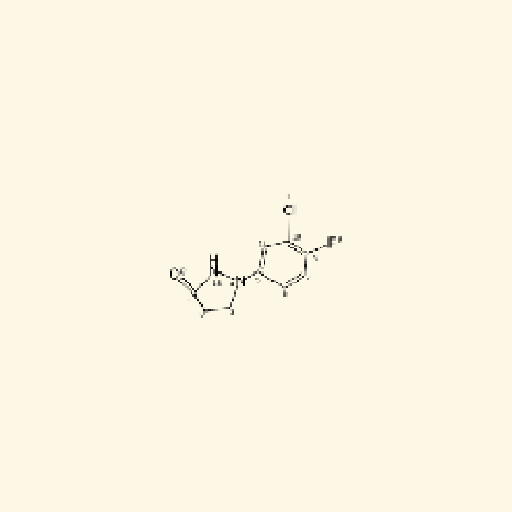 O=C1CCN(c2ccc(F)c(Cl)c2)N1